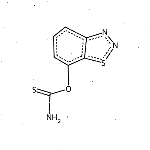 NC(=S)Oc1cccc2nnsc12